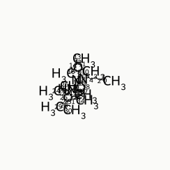 CCCCCCn1c(-c2c(C)cc(C)cc2C)nc2c(Nc3c(C(C)C)cc(C(C)C)cc3C(C)C)cccc21